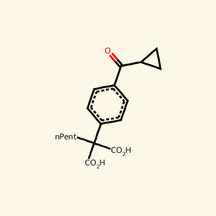 CCCCCC(C(=O)O)(C(=O)O)c1ccc(C(=O)C2CC2)cc1